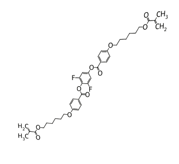 C=C(C)C(=O)OCCCCCCOc1ccc(C(=O)Oc2cc(F)c(OC(=O)c3ccc(OCCCCCCOC(=O)C(=C)C)cc3)c(F)c2)cc1